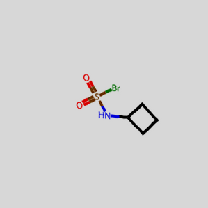 O=S(=O)(Br)NC1CCC1